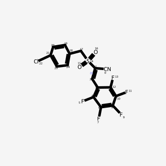 N#C/C(=C\c1c(F)c(F)c(F)c(F)c1F)S(=O)(=O)Cc1ccc(Cl)cc1